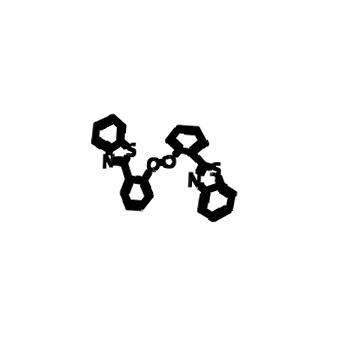 c1ccc(-c2nc3ccccc3s2)c(OOc2ccccc2-c2nc3ccccc3s2)c1